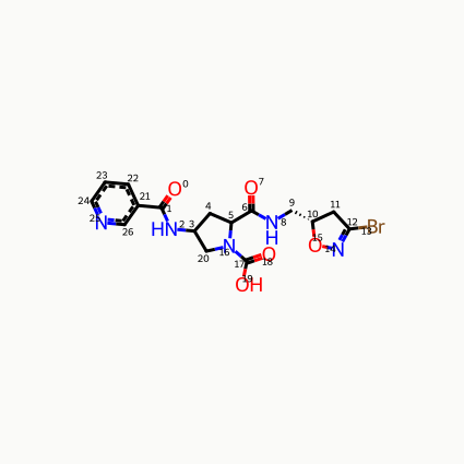 O=C(NC1CC(C(=O)NC[C@@H]2CC(Br)=NO2)N(C(=O)O)C1)c1cccnc1